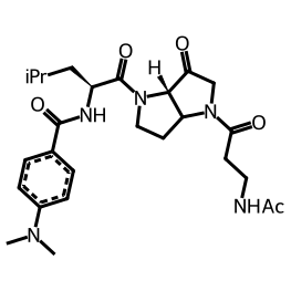 CC(=O)NCCC(=O)N1CC(=O)[C@@H]2C1CCN2C(=O)[C@H](CC(C)C)NC(=O)c1ccc(N(C)C)cc1